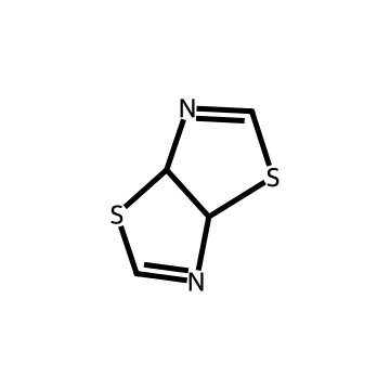 C1=NC2SC=NC2S1